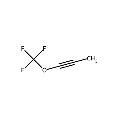 CC#COC(F)(F)F